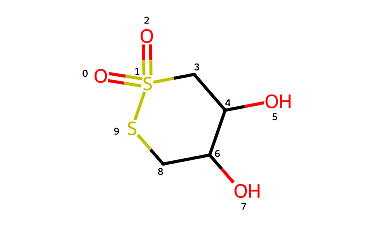 O=S1(=O)CC(O)C(O)CS1